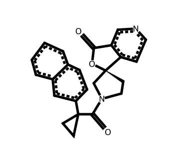 O=C1O[C@]2(CCN(C(=O)C3(c4ccc5ccccc5c4)CC3)C2)c2ccncc21